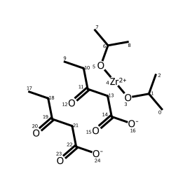 CC(C)[O][Zr+2][O]C(C)C.CCC(=O)CC(=O)[O-].CCC(=O)CC(=O)[O-]